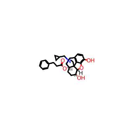 O=C(CCc1ccccc1)O[C@@]12CC[C@@H](O)[C@@H]3Oc4c(O)ccc5c4C31CCN(CC1CC1)C2C5